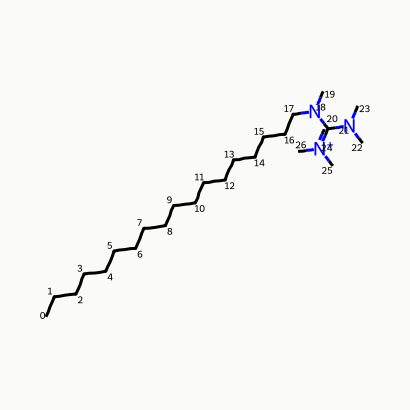 CCCCCCCCCCCCCCCCCCN(C)C(N(C)C)=[N+](C)C